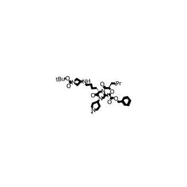 CC(C)C[C@H]1ON(C(=O)OCc2ccccc2)C2CN(C3CCN(C)CC3)C(=O)[C@H](CCCCNC3CN(C(=O)OC(C)(C)C)C3)N2C1=O